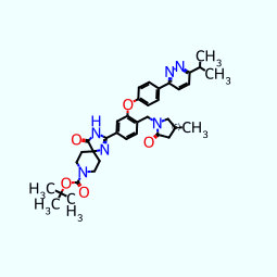 CC(C)c1ccc(-c2ccc(Oc3cc(C4=NC5(CCN(C(=O)OC(C)(C)C)CC5)C(=O)N4)ccc3CN3C[C@@H](C)CC3=O)cc2)nn1